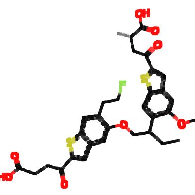 CCC(COc1cc2cc(C(=O)CCC(=O)O)sc2cc1CCF)c1cc2sc(C(=O)C[C@H](C)C(=O)O)cc2cc1OC